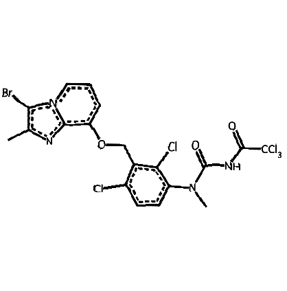 Cc1nc2c(OCc3c(Cl)ccc(N(C)C(=O)NC(=O)C(Cl)(Cl)Cl)c3Cl)cccn2c1Br